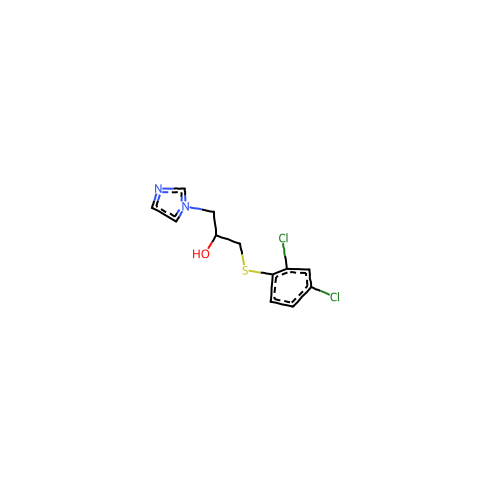 OC(CSc1ccc(Cl)cc1Cl)Cn1ccnc1